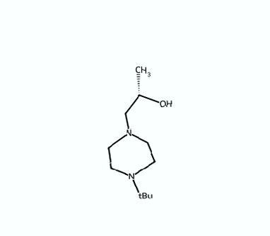 C[C@H](O)CN1CCN(C(C)(C)C)CC1